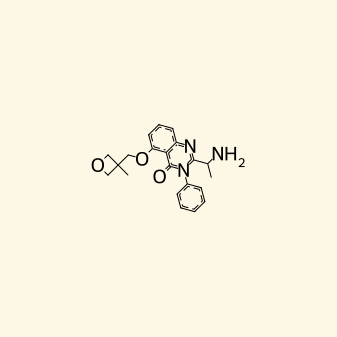 CC(N)c1nc2cccc(OCC3(C)COC3)c2c(=O)n1-c1ccccc1